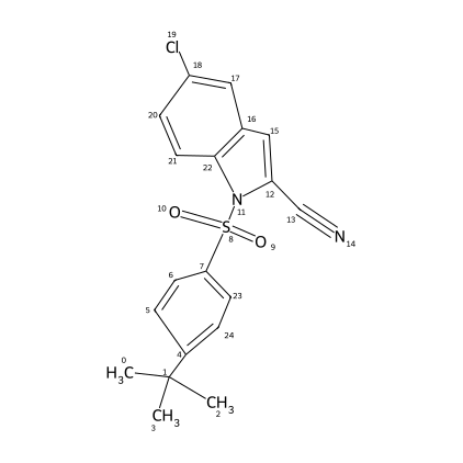 CC(C)(C)c1ccc(S(=O)(=O)n2c(C#N)cc3cc(Cl)ccc32)cc1